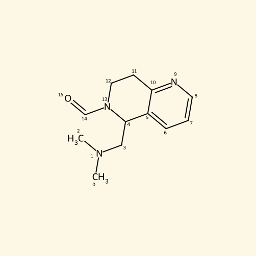 CN(C)CC1c2cccnc2CCN1C=O